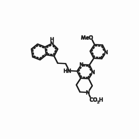 COc1cncc(-c2nc3c(c(NCCc4c[nH]c5ccccc45)n2)CCN(C(=O)O)C3)c1